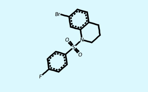 O=S(=O)(c1ccc(F)cc1)N1CCCc2ccc(Br)cc21